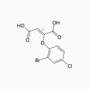 O=C(O)/C=C(\Oc1ccc(Cl)cc1Br)C(=O)O